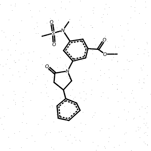 COC(=O)c1cc(N2CC(c3ccccc3)CC2=O)cc(N(C)S(C)(=O)=O)c1